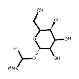 CCCCCCC(CC)O[C@@H]1OC(CO)[C@@H](O)C(O)C1O